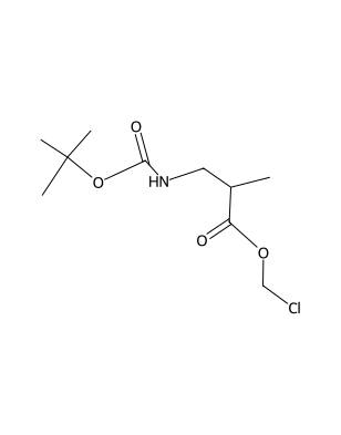 CC(CNC(=O)OC(C)(C)C)C(=O)OCCl